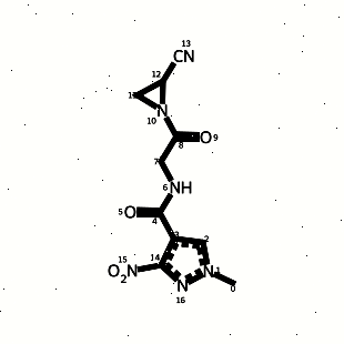 Cn1cc(C(=O)NCC(=O)N2CC2C#N)c([N+](=O)[O-])n1